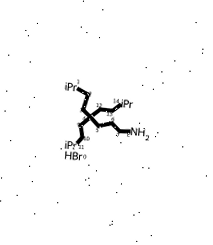 Br.CC(C)CCC(CCCN)(CCC(C)C)CCC(C)C